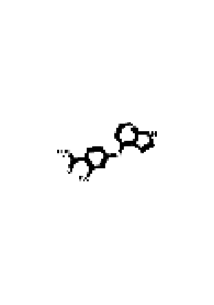 NC(=O)c1ccc(Oc2ccnc3[nH]ccc23)cc1C(F)(F)F